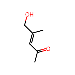 CC(=O)/C=C(\C)CO